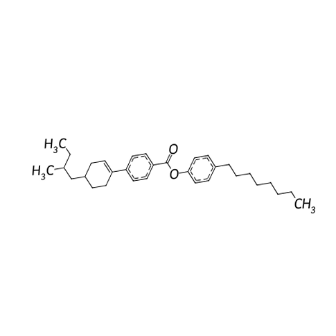 CCCCCCCCc1ccc(OC(=O)c2ccc(C3=CCC(CC(C)CC)CC3)cc2)cc1